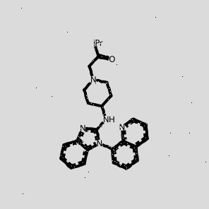 CC(C)C(=O)CN1CCC(Nc2nc3ccccc3n2-c2cccc3cccnc23)CC1